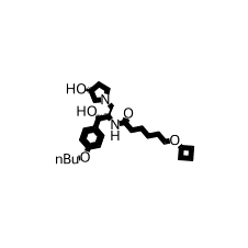 CCCCOc1ccc([C@@H](O)[C@@H](CN2CC[C@H](O)C2)NC(=O)CCCCCOC2CCC2)cc1